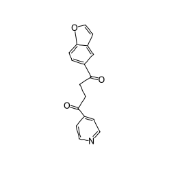 O=C(CCC(=O)c1ccc2occc2c1)c1ccncc1